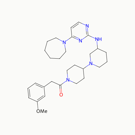 COc1cccc(CC(=O)N2CCC(N3CCCC(Nc4nccc(N5CCCCCC5)n4)C3)CC2)c1